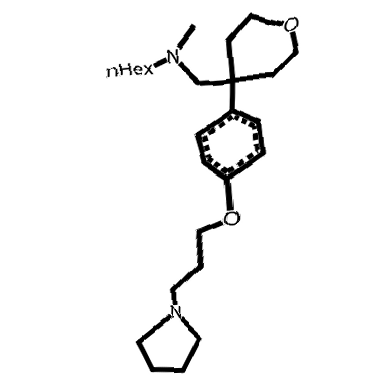 CCCCCCN(C)CC1(c2ccc(OCCCN3CCCC3)cc2)CCOCC1